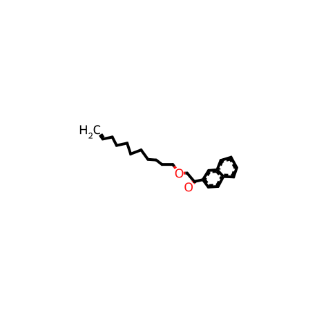 C=CCCCCCCCCCOCC(=O)c1ccc2ccccc2c1